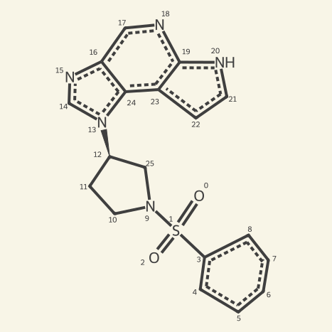 O=S(=O)(c1ccccc1)N1CC[C@@H](n2cnc3cnc4[nH]ccc4c32)C1